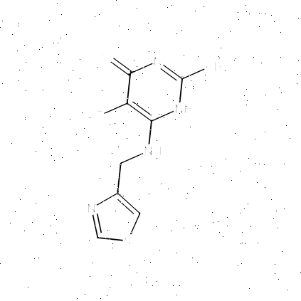 O=c1nc(Cl)[nH]c(NCc2cscn2)c1F